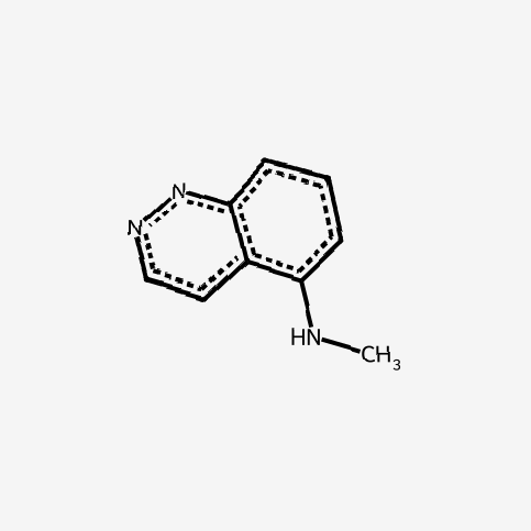 CNc1cccc2nnccc12